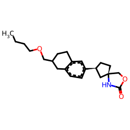 CCCCOCC1CCc2cc([C@H]3CC[C@]4(COC(=O)N4)C3)ccc2C1